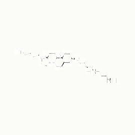 CC(C)CCCCC1CCC2C3CC=C4CC(OCCCCNCCCN)CCC4(C)C3CCC12C